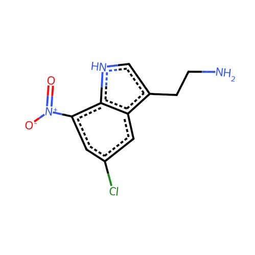 NCCc1c[nH]c2c([N+](=O)[O-])cc(Cl)cc12